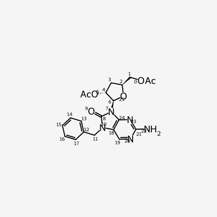 CC(=O)OC[C@@H]1C[C@@H](OC(C)=O)[C@H](n2c(=O)n(Cc3ccccc3)c3cnc(N)nc32)O1